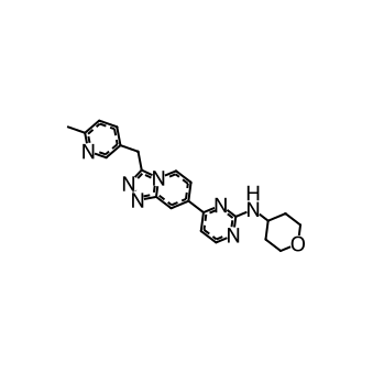 Cc1ccc(Cc2nnc3cc(-c4ccnc(NC5CCOCC5)n4)ccn23)cn1